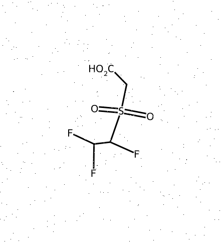 O=C(O)CS(=O)(=O)C(F)C(F)F